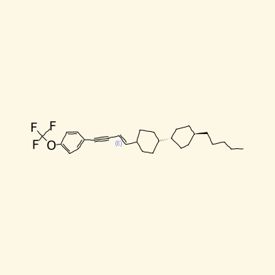 CCCCC[C@H]1CC[C@H](C2CCC(/C=C/C#Cc3ccc(OC(F)(F)F)cc3)CC2)CC1